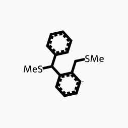 CSCc1[c]cccc1C(SC)c1ccccc1